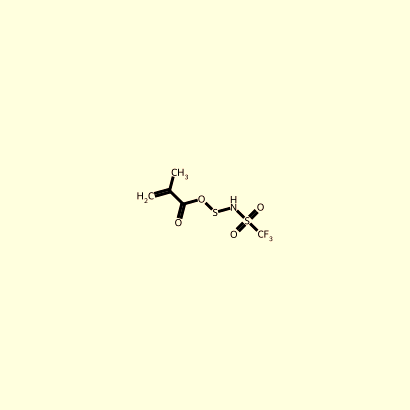 C=C(C)C(=O)OSNS(=O)(=O)C(F)(F)F